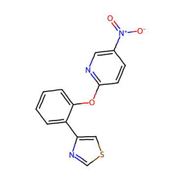 O=[N+]([O-])c1ccc(Oc2ccccc2-c2cscn2)nc1